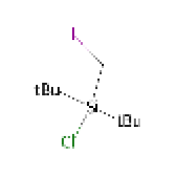 CC(C)(C)[Si](Cl)(CI)C(C)(C)C